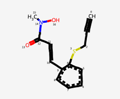 C#CCSc1ccccc1C=CC(=O)N(C)O